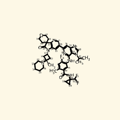 Cc1cc(F)c(Nc2nc(-c3cnc4c(c3)N([C@H]3C[C@@](C)(N5CCCCC5)C3)C(=O)C43CCOCC3)cc3ncn(C(C)C)c23)cc1C(=O)NC1(C(F)F)CC1